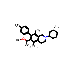 Cc1ccc(-c2c(C)c3c(c(C)c2[C@H](OC(C)(C)C)C(=O)O)CCN(C2CCC[C@@H](C)C2)C3)cc1